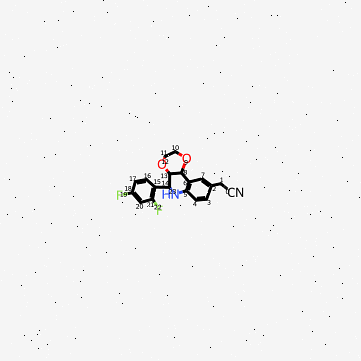 N#CCc1ccc2c(c1)C1OCCOC1C(c1ccc(F)cc1F)N2